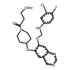 COCCC(=O)N1CCC(Oc2cc3cncnc3cc2OCNc2ccc(F)c(Cl)c2)CC1